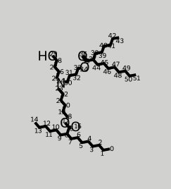 CCCCCCCCC(CCCCCC)C(=O)OCCCCCCN(CCCCO)CCCCOC(=O)C(CCCCCC)CCCCCCCC